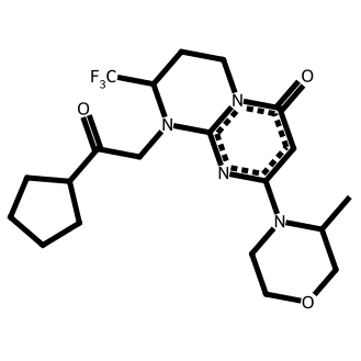 CC1COCCN1c1cc(=O)n2c(n1)N(CC(=O)C1CCCC1)C(C(F)(F)F)CC2